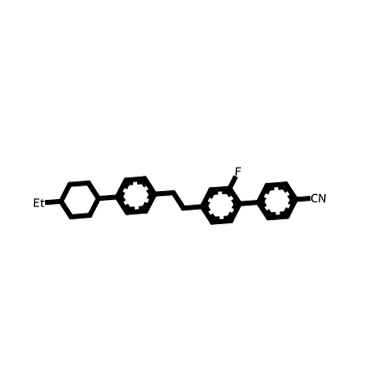 CCC1CCC(c2ccc(CCc3ccc(-c4ccc(C#N)cc4)c(F)c3)cc2)CC1